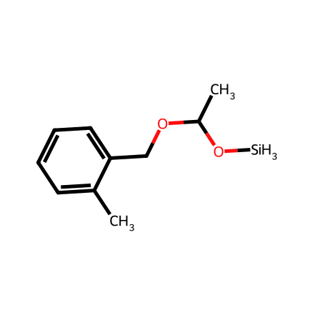 Cc1ccccc1COC(C)O[SiH3]